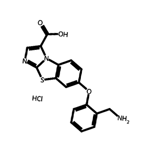 Cl.NCc1ccccc1Oc1ccc2c(c1)sc1ncc(C(=O)O)n12